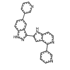 c1cncc(-c2ccc3[nH]nc(-c4cc5c(-c6cccnc6)nccc5[nH]4)c3c2)c1